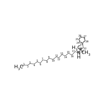 CCCCCCCCCCCCCCCCCCNC(C)(C)Cc1ccccc1